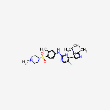 Cc1cc(Nc2ncc(F)c(-c3cnc(C)n3C(C)C)n2)ccc1S(=O)(=O)N1CCN(C)CC1